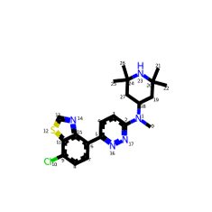 CN(c1ccc(-c2ccc(Cl)c3scnc23)nn1)C1CC(C)(C)NC(C)(C)C1